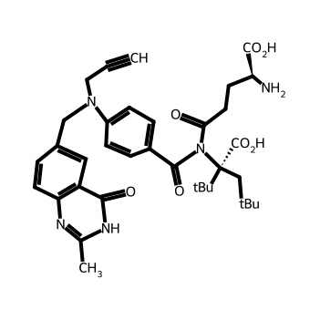 C#CCN(Cc1ccc2nc(C)[nH]c(=O)c2c1)c1ccc(C(=O)N(C(=O)CC[C@H](N)C(=O)O)[C@](CC(C)(C)C)(C(=O)O)C(C)(C)C)cc1